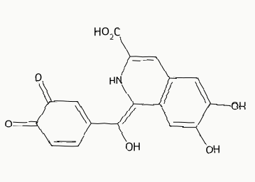 O=C(O)C1=Cc2cc(O)c(O)cc2C(=C(O)C2=CC(=O)C(=O)C=C2)N1